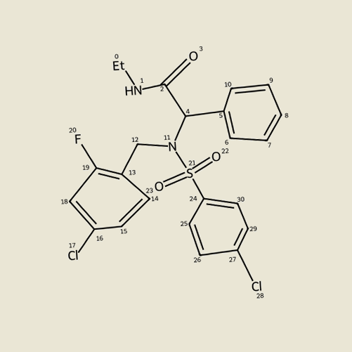 CCNC(=O)C(c1ccccc1)N(Cc1ccc(Cl)cc1F)S(=O)(=O)c1ccc(Cl)cc1